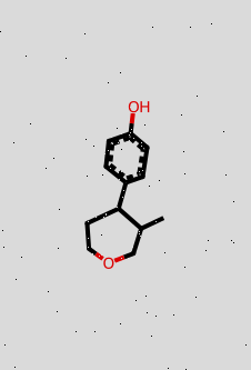 CC1COCCC1c1ccc(O)cc1